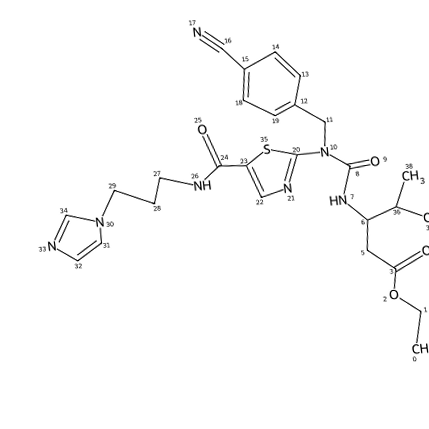 CCOC(=O)CC(NC(=O)N(Cc1ccc(C#N)cc1)c1ncc(C(=O)NCCCn2ccnc2)s1)C(C)C